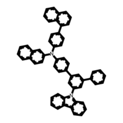 c1ccc(-c2cc(-c3ccc(N(c4ccc(-c5cccc6ccccc56)cc4)c4ccc5ccccc5c4)cc3)cc(-n3c4ccccc4c4ccccc43)c2)cc1